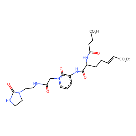 CCOC(=O)/C=C/CCC(NC(=O)CCC(=O)O)C(=O)Nc1cccn(CC(=O)NCCN2CCNC2=O)c1=O